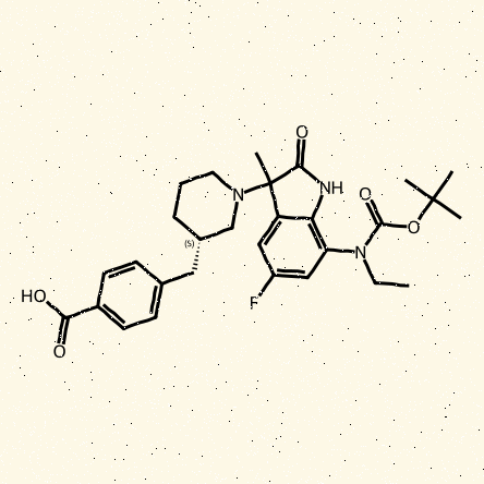 CCN(C(=O)OC(C)(C)C)c1cc(F)cc2c1NC(=O)C2(C)N1CCC[C@@H](Cc2ccc(C(=O)O)cc2)C1